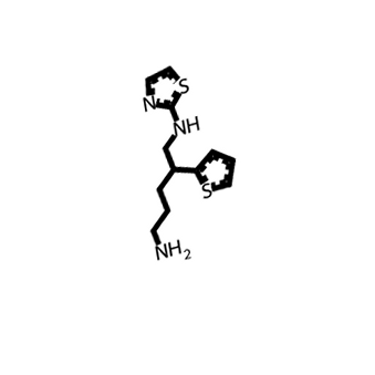 NCCCC(CNc1nccs1)c1cccs1